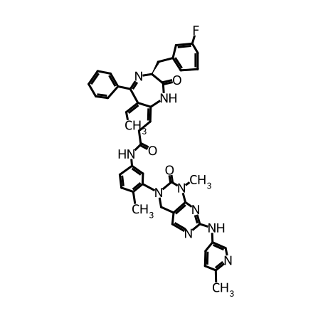 C/C=C1/C(c2ccccc2)=N[C@@H](Cc2cccc(F)c2)C(=O)N/C1=C/CC(=O)Nc1ccc(C)c(N2Cc3cnc(Nc4ccc(C)nc4)nc3N(C)C2=O)c1